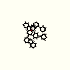 c1ccc(-c2cccc(-n3c4ccccc4c4cc(-c5cccc6c7ccccc7n(-c7cc(-c8ccccc8)cc(-c8ccccc8)c7)c56)ccc43)c2)cc1